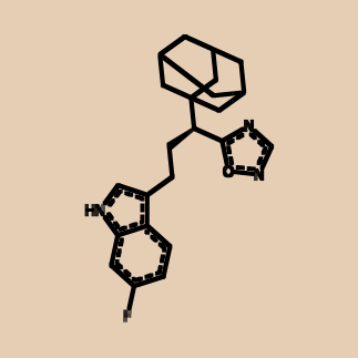 Fc1ccc2c(CC[C@H](c3ncno3)C34CC5CC(CC(C5)C3)C4)c[nH]c2c1